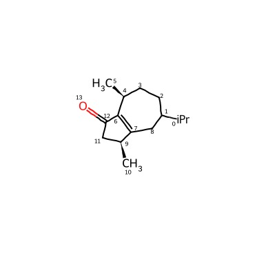 CC(C)C1CC[C@H](C)C2=C(C1)[C@@H](C)CC2=O